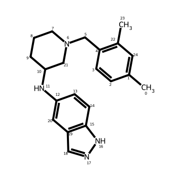 Cc1ccc(CN2CCCC(Nc3ccc4[nH]ncc4c3)C2)c(C)c1